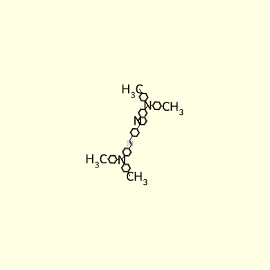 Cc1ccc(N(c2ccc(C)cc2)c2ccc(/C=C/c3ccc(-c4ccc5cc(N(c6ccc(C)cc6)c6ccc(C)cc6)ccc5n4)cc3)cc2)cc1